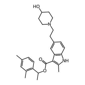 Cc1ccc(C(C)OC(=O)c2c(C)[nH]c3ccc(CCN4CCC(O)CC4)cc23)c(C)c1